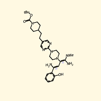 CN/C(N)=C(/C=C(\N)c1ccccc1O)N1CCN(c2ncc(CCC3CCN(C(=O)OC(C)(C)C)CC3)cn2)CC1